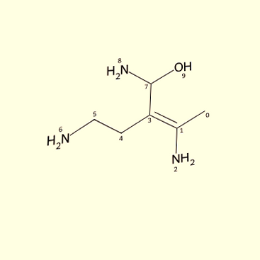 CC(N)=C(CCN)C(N)O